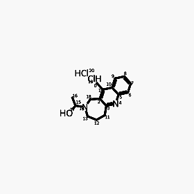 Cc1c2c(nc3ccccc13)CCCN(C(C)O)C2.Cl.Cl